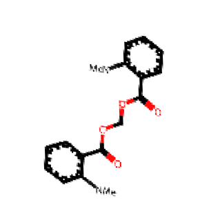 CNc1ccccc1C(=O)OCOC(=O)c1ccccc1NC